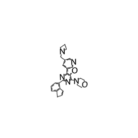 C1=Cc2c(cccc2-c2nc(N3CCOCC3)c3oc4ncc(CN5CCC5)cc4c3n2)C1